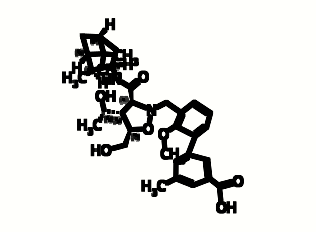 COc1c(CN2O[C@@H](CO)[C@H]([C@H](C)O)[C@H]2C(=O)N[C@H]2C[C@H]3C[C@@H]([C@@H]2C)C3(C)C)cccc1-c1cc(C)cc(C(=O)O)c1